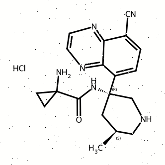 C[C@@H]1CNC[C@](NC(=O)C2(N)CC2)(c2ccc(C#N)c3nccnc23)C1.Cl